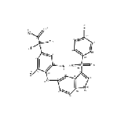 O=C(O)C(F)(F)c1cc(Br)c(Oc2ccc3[nH]cc(S(=O)(=O)c4ccc(F)cc4)c3c2)c(Br)c1